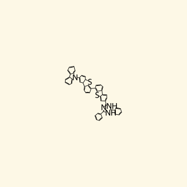 C1=CC2Sc3c(-c4cccc5c4sc4cc(C6N=C(c7ccccc7)NC(c7ccccc7)N6)ccc45)cccc3C2C=C1n1c2ccccc2c2ccccc21